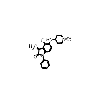 C=C1C(=O)N(c2ccccc2)c2ccc(NC3CCN(CC)CC3)c(F)c21